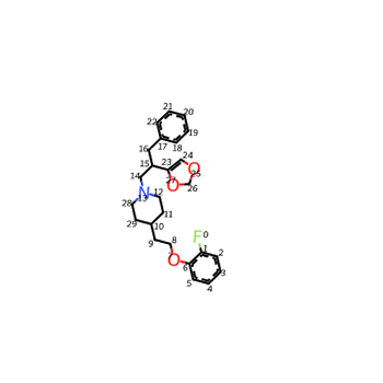 Fc1ccccc1OCCC1CCN(CC(Cc2ccccc2)C2=COCO2)CC1